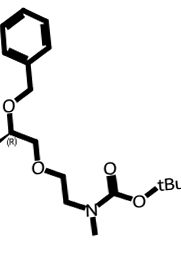 C[C@H](COCCN(C)C(=O)OC(C)(C)C)OCc1ccccc1